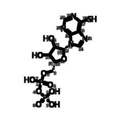 O=P(O)(O)OP(=O)(O)OC[C@H]1O[C@@H](n2cnc3c(S)ncnc32)C(O)C1O